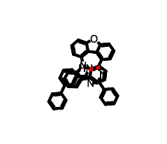 c1ccc(C2=NC(c3cccc4oc5cccc(-n6c7ccccc7c7ccccc76)c5c34)NC(c3cccc(-c4ccccc4)c3)=N2)cc1